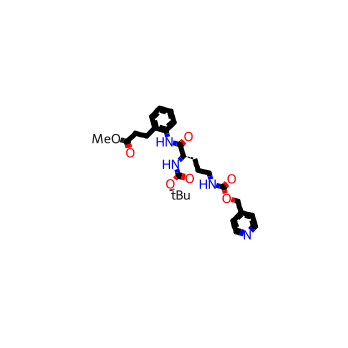 COC(=O)CCc1ccccc1NC(=O)[C@H](CCCNC(=O)OCc1ccncc1)NC(=O)OC(C)(C)C